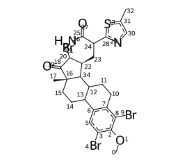 COc1c(Br)cc2c(c1Br)CCC1C2CC[C@]2(C)C(=O)C(Br)[C@@H](CC(C(N)=O)c3ncc(C)s3)C12